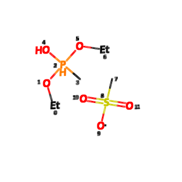 CCO[PH](C)(O)OCC.CS([O])(=O)=O